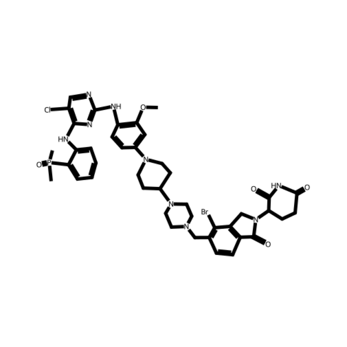 COc1cc(N2CCC(N3CCN(Cc4ccc5c(c4Br)CN(C4CCC(=O)NC4=O)C5=O)CC3)CC2)ccc1Nc1ncc(Cl)c(Nc2ccccc2P(C)(C)=O)n1